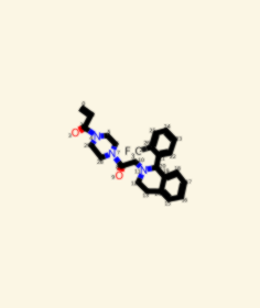 C=CC(=O)N1CCN(C(=O)CN2CCc3ccccc3C2c2ccccc2C(F)(F)F)CC1